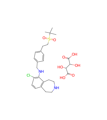 CC(C)(C)S(=O)(=O)CCc1ccc(CNc2c(Cl)ccc3c2CCNCC3)cc1.O=C(O)C(O)C(O)C(=O)O